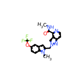 CNC(=O)c1nccc2nn(Cc3cc4cc(OC(F)(F)F)ccc4n3C)cc12